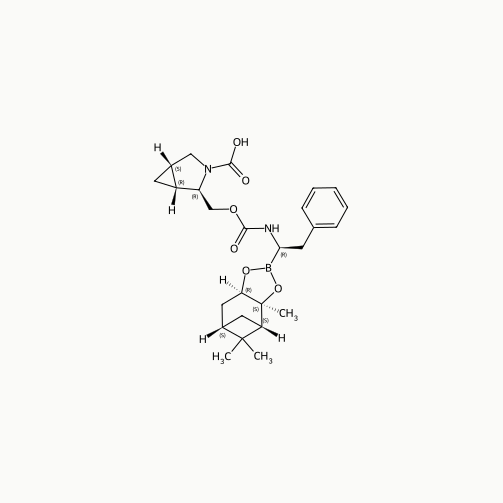 CC1(C)[C@@H]2C[C@H]3OB([C@H](Cc4ccccc4)NC(=O)OC[C@H]4[C@@H]5C[C@@H]5CN4C(=O)O)O[C@@]3(C)[C@H]1C2